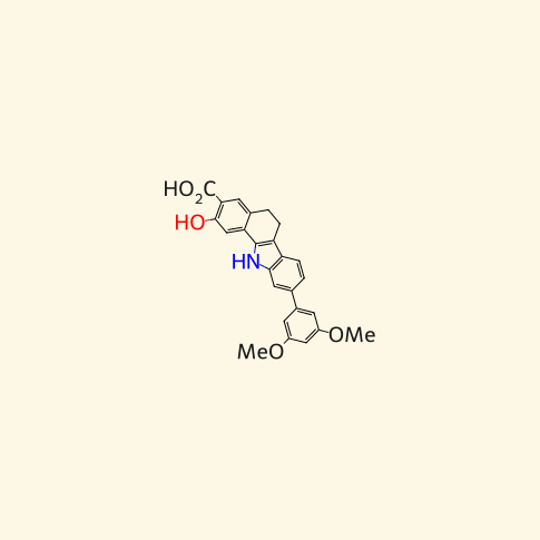 COc1cc(OC)cc(-c2ccc3c4c([nH]c3c2)-c2cc(O)c(C(=O)O)cc2CC4)c1